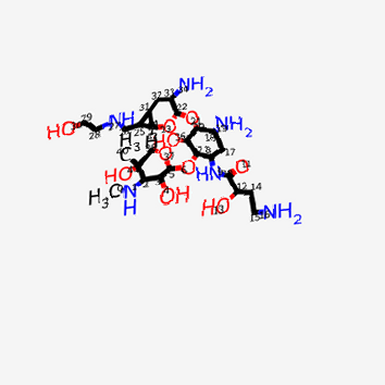 CNC1C(O)C(OC2C(NC(=O)C(O)CCN)CC(N)C(OC3O[C@H]4C(CNCCO)C4CC3N)C2O)OCC1(C)O